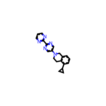 c1cnc(-c2ncc(N3CCc4c(cccc4C4CC4)C3)cn2)nc1